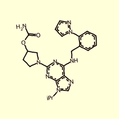 CC(C)n1cnc2c(NCc3ccccc3-n3cccn3)nc(N3CCC(OC(N)=O)C3)nc21